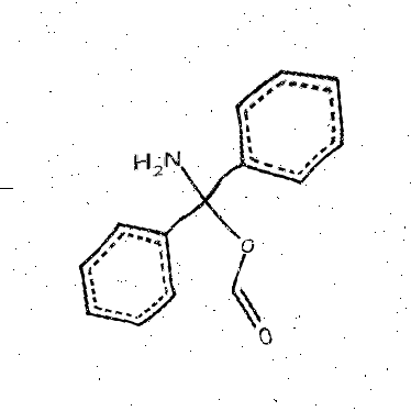 NC(OC=O)(c1ccccc1)c1ccccc1